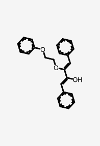 OC(=Cc1ccccc1)C(=Cc1ccccc1)OCCOc1ccccc1